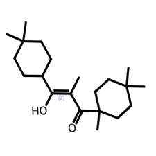 C/C(C(=O)C1(C)CCC(C)(C)CC1)=C(/O)C1CCC(C)(C)CC1